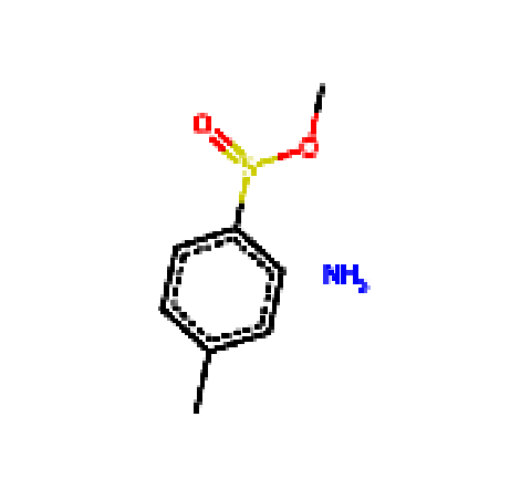 COS(=O)c1ccc(C)cc1.N